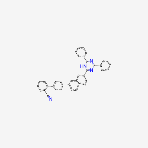 N#Cc1ccccc1-c1ccc(-c2ccc3ccc(C4=NC(c5ccccc5)=NC(c5ccccc5)N4)cc3c2)cc1